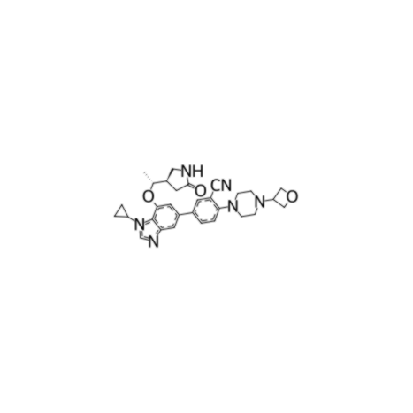 C[C@@H](Oc1cc(-c2ccc(N3CCN(C4COC4)CC3)c(C#N)c2)cc2ncn(C3CC3)c12)[C@H]1CNC(=O)C1